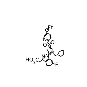 CCOc1ccc(S(=O)(=O)N2C[C@@H](CC3CCCC3)[C@@H](n3nc(CC(=O)O)c4ccc(F)cc43)C2)nc1